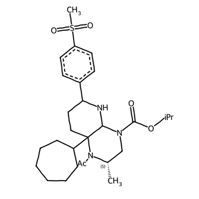 CC(=O)N1[C@@H](C)CN(C(=O)OC(C)C)C2NC(c3ccc(S(C)(=O)=O)cc3)CCC21C1CCCCCC1